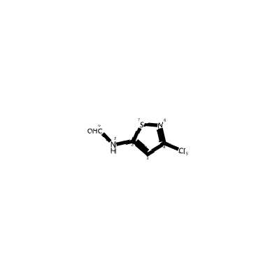 O=CNc1cc(Cl)ns1